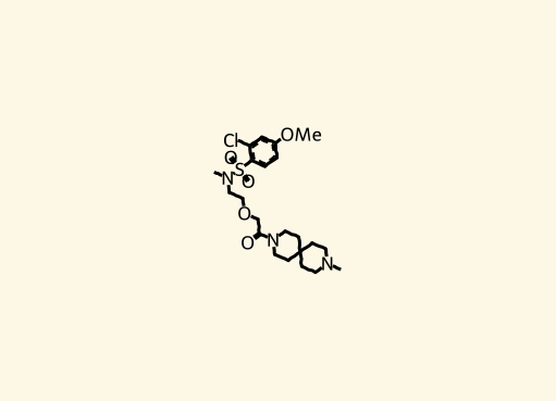 COc1ccc(S(=O)(=O)N(C)CCOCC(=O)N2CCC3(CCN(C)CC3)CC2)c(Cl)c1